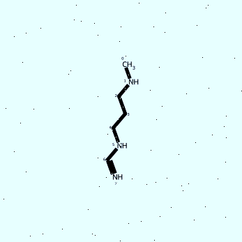 CNCCCNC=N